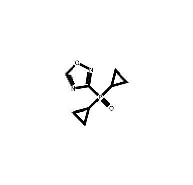 O=P(c1ncon1)(C1CC1)C1CC1